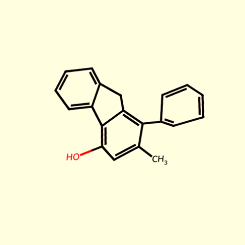 Cc1cc(O)c2c(c1-c1ccccc1)Cc1ccccc1-2